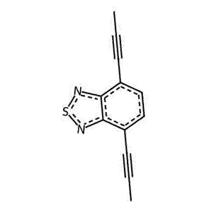 CC#Cc1ccc(C#CC)c2nsnc12